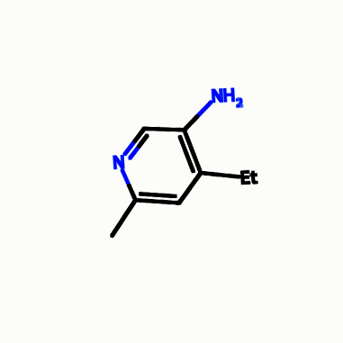 CCc1cc(C)ncc1N